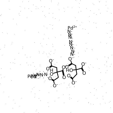 O=C([O-])CC(O)(CC(=O)[O-])C(=O)[O-].O=C([O-])CC(O)(CC(=O)[O-])C(=O)[O-].[N].[N].[N].[N].[N].[N].[N].[N].[N].[N].[N].[N].[Pd+2].[Pd+2].[Pd+2]